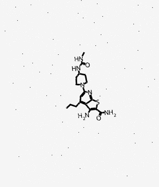 CCCc1cc(N2CCC(NC(=O)NC)CC2)nc2sc(C(N)=O)c(N)c12